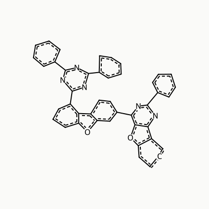 c1ccc(-c2nc(-c3ccccc3)nc(-c3cccc4oc5cc(-c6nc(-c7ccccc7)nc7c6oc6ccccc67)ccc5c34)n2)cc1